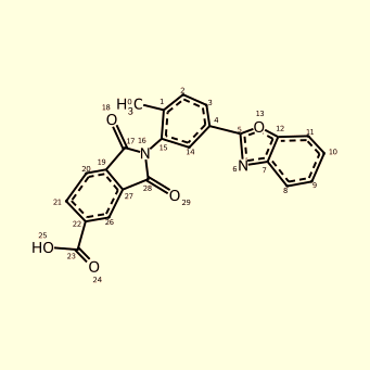 Cc1ccc(-c2nc3ccccc3o2)cc1N1C(=O)c2ccc(C(=O)O)cc2C1=O